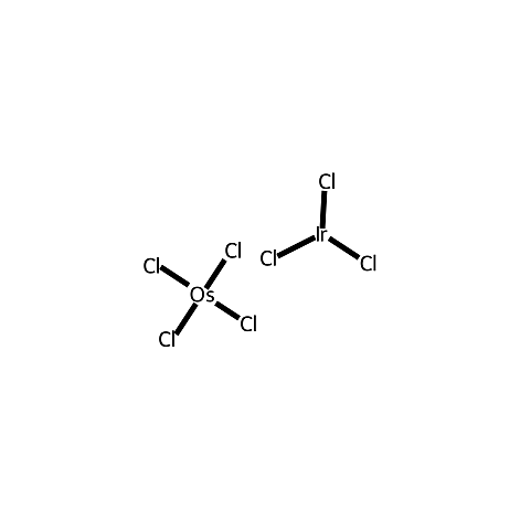 [Cl][Ir]([Cl])[Cl].[Cl][Os]([Cl])([Cl])[Cl]